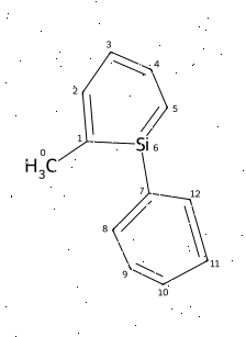 Cc1cccc[si]1-c1ccccc1